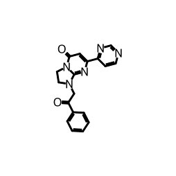 O=C(CN1CCn2c1nc(-c1ccncn1)cc2=O)c1ccccc1